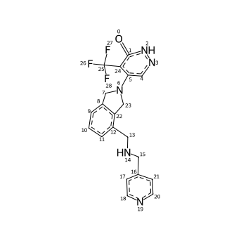 O=c1[nH]ncc(N2Cc3cccc(CNCc4ccncc4)c3C2)c1C(F)(F)F